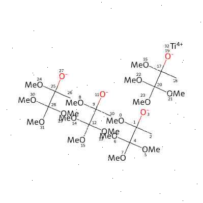 COC(C)([O-])C(OC)(OC)OC.COC(C)([O-])C(OC)(OC)OC.COC(C)([O-])C(OC)(OC)OC.COC(C)([O-])C(OC)(OC)OC.[Ti+4]